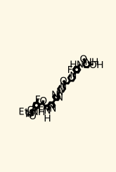 CCN(C)S(=O)(=O)Nc1ccc(F)c(C(=O)c2c[nH]c3ncc(-c4cnc(N5CCN(C(=O)CC6CCN(c7ccc(NC8CCC(O)NC8=O)cc7F)CC6)CC5)nc4)cc23)c1F